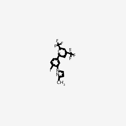 Cc1ccn(-c2cc(-c3cc(C(F)(F)F)cc(C(F)(F)F)c3)ccc2I)n1